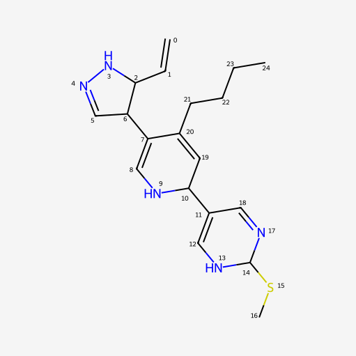 C=CC1NN=CC1C1=CNC(C2=CNC(SC)N=C2)C=C1CCCC